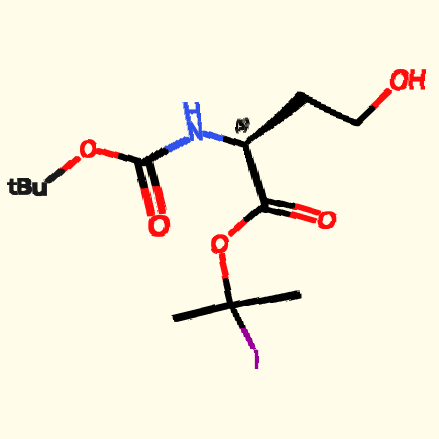 CC(C)(C)OC(=O)N[C@@H](CCO)C(=O)OC(C)(C)I